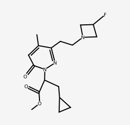 COC(=O)C(CC1CC1)n1nc(CCN2CC(F)C2)c(C)cc1=O